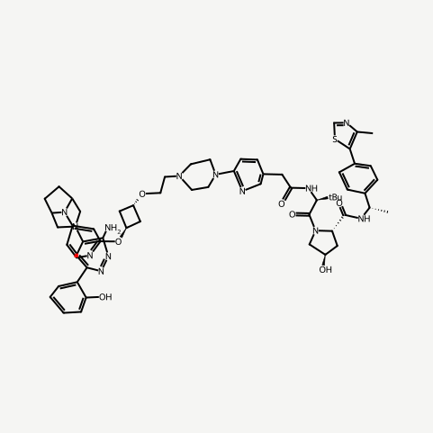 Cc1ncsc1-c1ccc([C@H](C)NC(=O)[C@@H]2C[C@@H](O)CN2C(=O)[C@@H](NC(=O)Cc2ccc(N3CCN(CCO[C@H]4C[C@H](Oc5cc(N6C7CCC6CN(c6cc(-c8ccccc8O)nnc6N)C7)ccn5)C4)CC3)nc2)C(C)(C)C)cc1